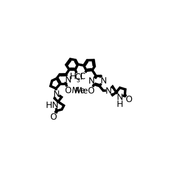 COc1nc(-c2cccc(-c3cccc(-c4cc5c(c(OC)n4)C(N4CC6(CCC(=O)N6)C4)CC5)c3Cl)c2C)cnc1CN1CC2(CCC(=O)N2)C1